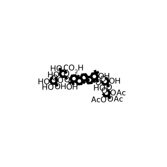 CC(=O)OC1COC(OC2C(O)COC(OC3C(O)C(C)(C)CC4C5=CCC6C7(C)CCC(OC8OC(C(=O)O)C(O)C(O)C8OC8OCC(O)C(O)C8O)C(C)(CO)C7CCC6(C)C5(C)CCC43C)C2O)C(OC(C)=O)C1OC(C)=O